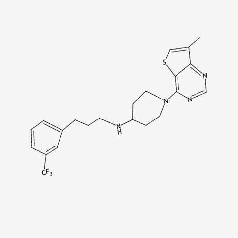 Cc1csc2c(N3CCC(NCCCc4cccc(C(F)(F)F)c4)CC3)ncnc12